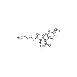 CCCCCC(=O)Nc1sc2c(c1C(N)=O)CCC(C)C2